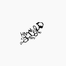 O=C1CCC2(C1)Nc1c(cnc3c1ccn3S(=O)(=O)c1ccccc1)NC2=O